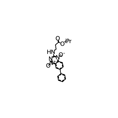 CC(C)OC(=O)CCNc1n[n+]([O-])c2cc(-c3ccccc3)ccc2[n+]1[O-]